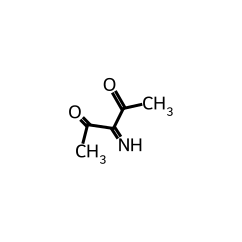 CC(=O)C(=N)C(C)=O